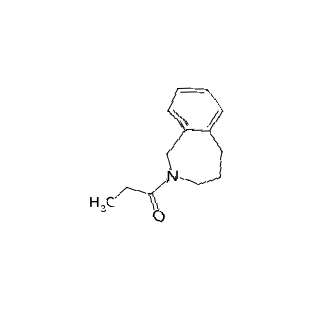 CCC(=O)N1CCCc2ccccc2C1